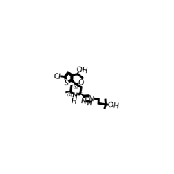 C[C@H]1C[C@@]2(C[C@@H](c3cn(CCC(C)(C)O)nn3)N1)OC[C@@H](O)c1cc(Cl)sc12